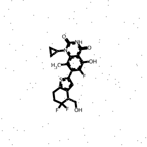 Cc1c(-c2cc3c(s2)CCC(F)(F)C3CO)c(F)c(O)c2c(=O)[nH]c(=O)n(C3CC3)c12